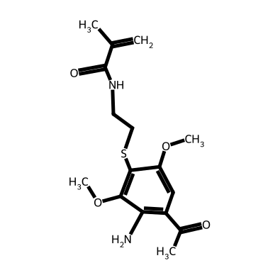 C=C(C)C(=O)NCCSc1c(OC)cc(C(C)=O)c(N)c1OC